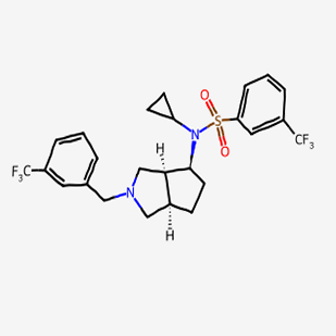 O=S(=O)(c1cccc(C(F)(F)F)c1)N(C1CC1)[C@H]1CC[C@H]2CN(Cc3cccc(C(F)(F)F)c3)C[C@H]21